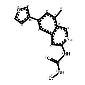 CCNC(=O)Nc1cc2cc(-c3ccoc3)cc(C)c2cn1